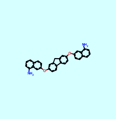 Nc1cccc2ccc(Oc3ccc4c(c3)Cc3cc(Oc5ccc6cccc(N)c6c5)ccc3-4)cc12